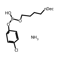 CCCCCCCCCCCCCCOB(O)Oc1ccc(Cl)cc1.N